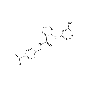 CC(=O)c1cccc(Oc2ncccc2C(=O)NCc2ccc([C@H](C)O)cc2)c1